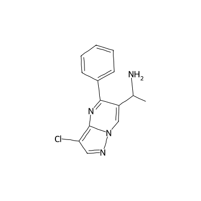 CC(N)c1cn2ncc(Cl)c2nc1-c1ccccc1